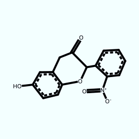 O=C1Cc2cc(O)ccc2OC1c1ccccc1[N+](=O)[O-]